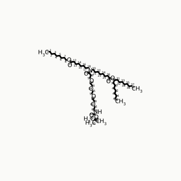 CCCCCCCCCOC(=O)CCCCCCCN(CCCCCCCC(=O)OC(CCCCCCCC)CCCCCCCC)C(=O)CCOCCOCCOCCOCCNC(=O)OC(C)(C)C